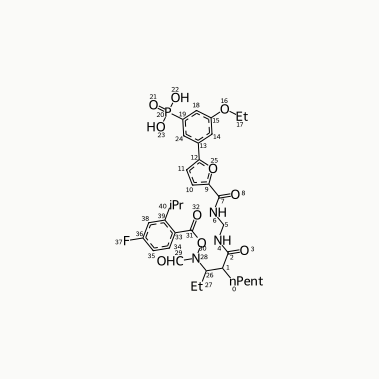 CCCCCC(C(=O)NCNC(=O)c1ccc(-c2cc(OCC)cc(P(=O)(O)O)c2)o1)C(CC)N(C=O)OC(=O)c1ccc(F)cc1C(C)C